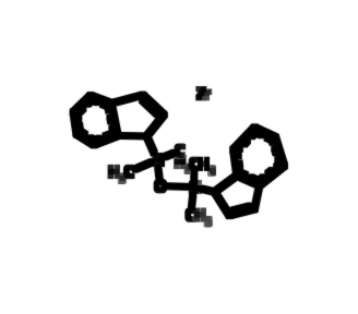 C[Si](C)(O[Si](C)(C)C1C=Cc2ccccc21)C1C=Cc2ccccc21.[Zr]